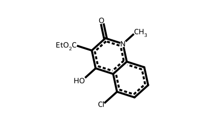 CCOC(=O)c1c(O)c2c(Cl)cccc2n(C)c1=O